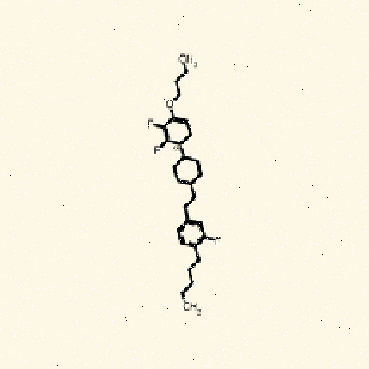 CCCCCc1ccc(CCC2CCC([C@@H]3CC=C(OCCCC)C(F)=C3F)CC2)cc1F